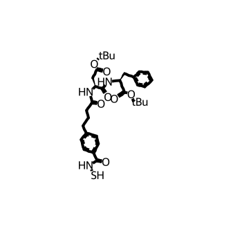 CC(C)(C)OC(=O)C[C@H](NC(=O)CCCc1ccc(C(=O)NS)cc1)C(=O)N[C@@H](Cc1ccccc1)C(=O)OC(C)(C)C